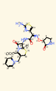 Nc1nc(/C(=N/O[C@H]2CCNC2=O)C(=O)N[C@@H]2C(=O)N3C(C(=O)[O-])=C(C[n+]4ccccc4)CS[C@H]23)cs1